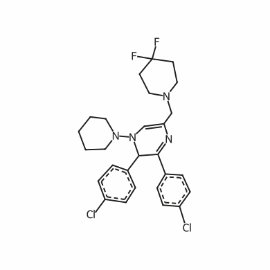 FC1(F)CCN(CC2=CN(N3CCCCC3)C(c3ccc(Cl)cc3)C(c3ccc(Cl)cc3)=N2)CC1